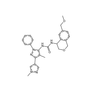 COCc1ccc2c(c1)C(NC(=O)Nc1c(C)c(-c3cnn(C)c3)nn1-c1ccccc1)COC2